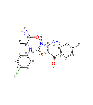 Cc1ccc(C(=O)c2sc(N(c3ccc(F)cc3)[C@@H](C)C(N)=O)nc2N)cc1